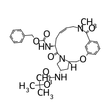 CN1C/C=C\C[C@H](NC(=O)OCc2ccccc2)C(=O)N2C[C@@H](NC(=O)OC(C)(C)C)C[C@H]2COc2cccc(c2)C1=O